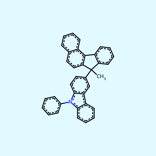 CC1(c2ccc3c(c2)c2ccccc2n3-c2ccccc2)c2ccccc2-c2c1ccc1ccccc21